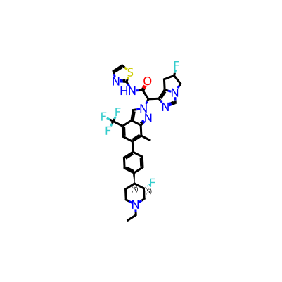 CCN1CC[C@@H](c2ccc(-c3cc(C(F)(F)F)c4cn(C(C(=O)Nc5nccs5)c5ncn6c5CC(F)C6)nc4c3C)cc2)[C@H](F)C1